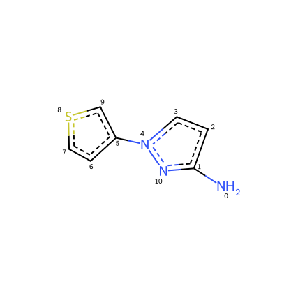 Nc1ccn(-c2ccsc2)n1